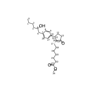 CCCCC(O)Cc1ccc([C@H]2CCC(=O)[C@@H]2CCCCCCC(=O)OC)cc1